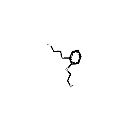 CC(C)CCOc1c[c]ccc1OCCC(C)C